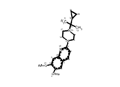 COc1cc2ccc(N3CCN(C(C)(C)C4CC4)CC3)nc2cc1OC